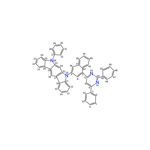 c1ccc(-c2cc(-c3cc(-n4c5ccccc5c5cc6c7ccccc7n(-c7ccccc7)c6cc54)cc4ccccc34)nc(-c3ccccc3)n2)cc1